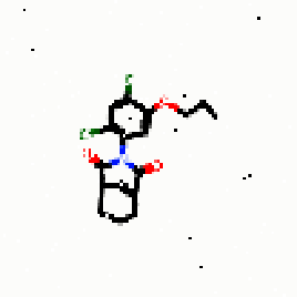 CCCOc1cc(N2C(=O)C3=CC(CCC3)C2=O)c(Cl)cc1Cl